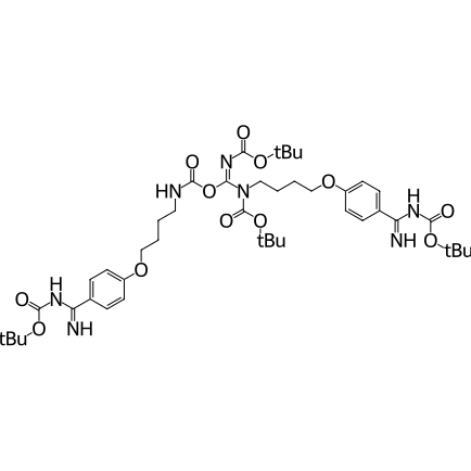 CC(C)(C)OC(=O)N=C(OC(=O)NCCCCOc1ccc(C(=N)NC(=O)OC(C)(C)C)cc1)N(CCCCOc1ccc(C(=N)NC(=O)OC(C)(C)C)cc1)C(=O)OC(C)(C)C